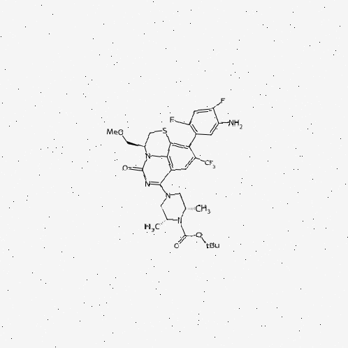 COC[C@H]1CSc2c(-c3cc(N)c(F)cc3F)c(C(F)(F)F)cc3c(N4C[C@@H](C)N(C(=O)OC(C)(C)C)[C@@H](C)C4)nc(=O)n1c23